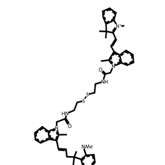 CNc1ccccc1C(C)(C)C/C=C/c1c(C)n(CC(=O)NCCSSCCNC(=O)Cn2c(C)c(/C=C/C3=[N+](C)c4ccccc4C3(C)C)c3ccccc32)c2ccccc12